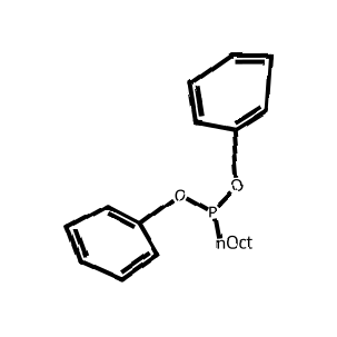 CCCCCCCCP(Oc1ccccc1)Oc1ccccc1